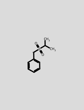 CC(C)S(=O)(=O)[C]c1ccccc1